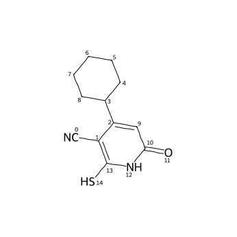 N#Cc1c(C2CCCCC2)cc(=O)[nH]c1S